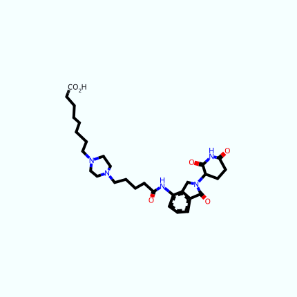 O=C(O)CCCCCCCN1CCN(CCCCC(=O)Nc2cccc3c2CN(C2CCC(=O)NC2=O)C3=O)CC1